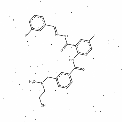 CN(CCO)Cc1cccc(C(=O)Nc2ccc(Cl)cc2C(=O)NN=Cc2cccc(F)c2)c1